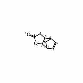 O=C1CC2C3C=CC(C3)C2O1